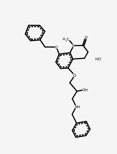 CN1C(=O)CCc2c(OCC(O)CNCc3ccccc3)ccc(OCc3ccccc3)c21.Cl